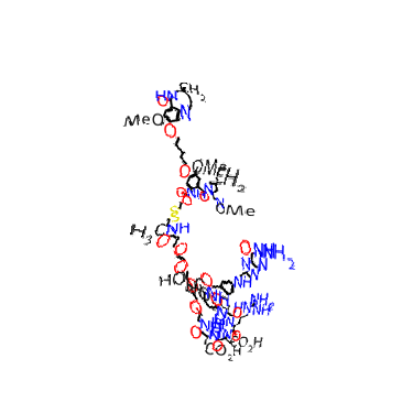 C=C1CC/C=N\c2cc(OCCCCCOc3cc(NC(=O)OCCSSC[C@@H](C)NC(=O)CCOCCOCCOCCOCCNC(=O)[C@H](CC(=O)O)NC(=O)[C@H](CC(=O)O)NC(=O)[C@H](CCCNC(=N)N)NC(=O)[C@H](CC(=O)O)NC(=O)CC[C@H](NC(=O)c4ccc(NCc5cnc6nc(N)[nH]c(=O)c6n5)cc4)C(=O)O)c(C(=O)N4CC(=C)C[C@H]4/C=N/OC)cc3OC)c(OC)cc2C(=O)NC1